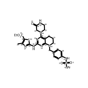 CCCS(=O)(=O)Nc1ccc(CN2CCCc3c(N4CCNC(=O)C4)nc(Nc4nc(C)c(C(=O)OCC)s4)nc32)cc1